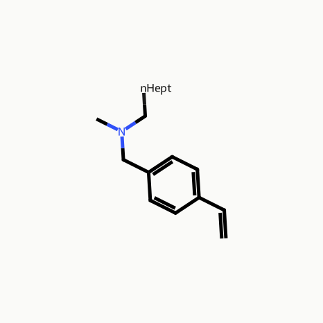 C=Cc1ccc(CN(C)CCCCCCCC)cc1